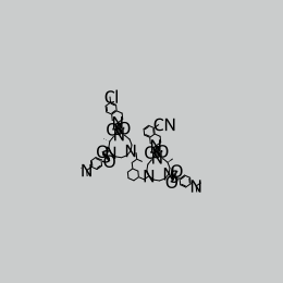 CC(CC1CCCC(CN2CCCN(S(=O)(=O)c3ccc(N(C)C)cc3)C[C@H](C)CN(S(=O)(=O)N3CCc4c(C#N)cccc4C3)CCC2)C1)CN1CCCN(S(=O)(=O)c2ccc(N(C)C)cc2)C[C@H](C)CN(S(=O)(=O)N2CCc3cc(Cl)ccc3C2)CCC1